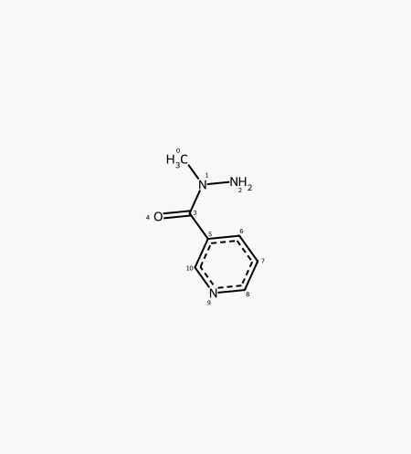 CN(N)C(=O)c1cccnc1